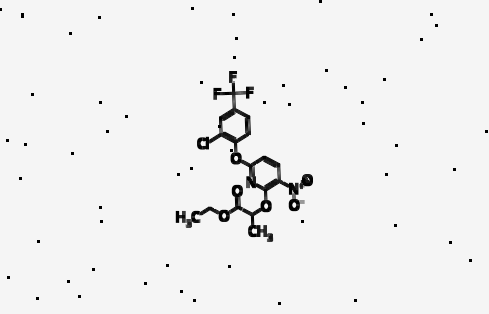 CCOC(=O)C(C)Oc1nc(Oc2ccc(C(F)(F)F)cc2Cl)ccc1[N+](=O)[O-]